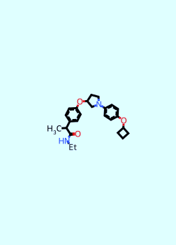 CCNC(=O)C(C)c1ccc(OC2CCN(c3ccc(OC4CCC4)cc3)C2)cc1